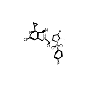 C[C@H]1[C@H](F)C[C@@H](C(=O)NCc2cc(Cl)nc(C3CC3)c2C#N)N1S(=O)(=O)c1ccc(F)cc1